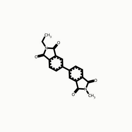 CCN1C(=O)c2ccc(-c3ccc4c(c3)C(=O)N(C)C4=O)cc2C1=O